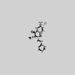 CCCc1c(/C=C/c2ccccn2)nc2ccc(C(=O)O)cn2c1=O